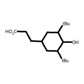 CC(C)(C)C1CC(CCC(=O)O)CC(C(C)(C)C)C1O